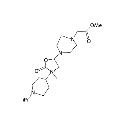 COC(=O)CN1CCN(C2C[N+](C)(C3CCN(C(C)C)CC3)C(=O)O2)CC1